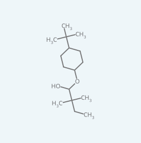 CCC(C)(C)C(O)OC1CCC(C(C)(C)C)CC1